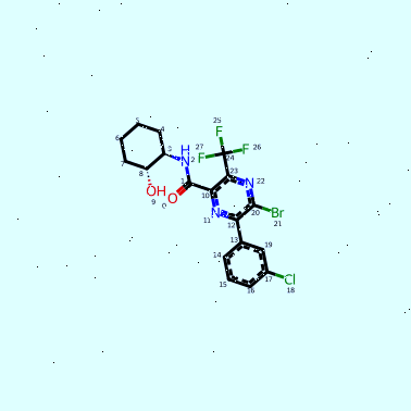 O=C(N[C@@H]1CCCC[C@H]1O)c1nc(-c2cccc(Cl)c2)c(Br)nc1C(F)(F)F